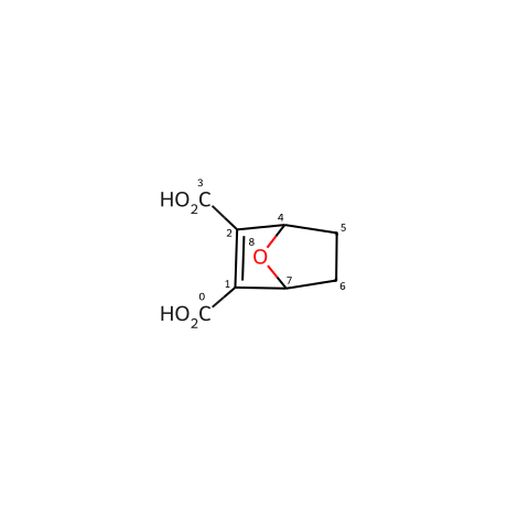 O=C(O)C1=C(C(=O)O)C2CCC1O2